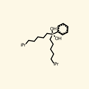 CC(C)CCCCCP(O)(O)(CCCCCC(C)C)c1ccccc1